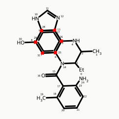 CCC(C(C)Nc1ncnc2[nH]cnc12)N(C(=O)c1c(C)cccc1N)c1cccc(O)c1